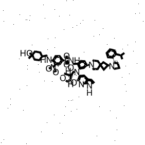 CC(C)c1ccccc1[C@@H]1CCCN1C1CC2(CCN(c3ccc(C(=O)NS(=O)(=O)c4ccc(NCC5CCC(C)(O)CC5)c([N+](=O)[O-])c4)c(N4C[C@H]5COC[C@H]5Oc5nc6[nH]ccc6cc54)c3)CC2)C1